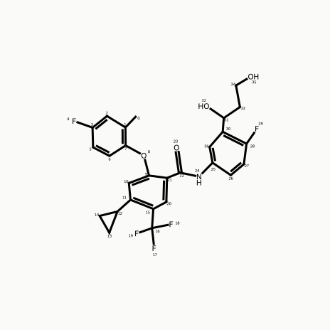 Cc1cc(F)ccc1Oc1cc(C2CC2)c(C(F)(F)F)cc1C(=O)Nc1ccc(F)c(C(O)CCO)c1